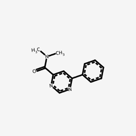 CN(C)C(=O)c1cc(-c2ccccc2)ncn1